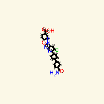 NC(=O)c1ccc(-c2ccc(-c3nc4nc(O[C@H]5CC[C@H](C(=O)O)CC5)[nH]c4cc3Cl)cc2)cc1